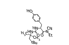 CCN(C#N)C(=O)C(Cc1ccc(O)cc1)NC(=O)NC(C)(C)CC(C)(C)C